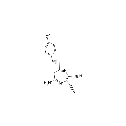 COc1ccc(/C=C/C2=NC(C#N)=C(C#N)N=C(N)C2)cc1